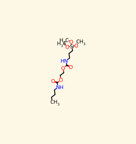 CCCCNC(=O)OCCOC(=O)NCCC[Si](OC)(OC)OC